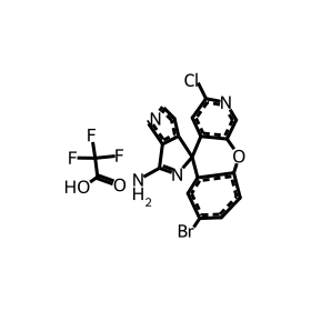 NC1=NC2(c3cc(Br)ccc3Oc3cnc(Cl)cc32)c2ccncc21.O=C(O)C(F)(F)F